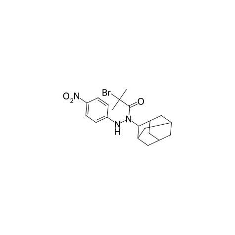 CC(C)(Br)C(=O)N(Nc1ccc([N+](=O)[O-])cc1)C1C2CC3CC(C2)CC1C3